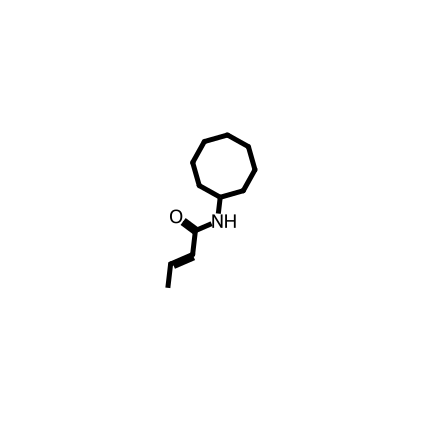 CC=CC(=O)NC1CCCCCCC1